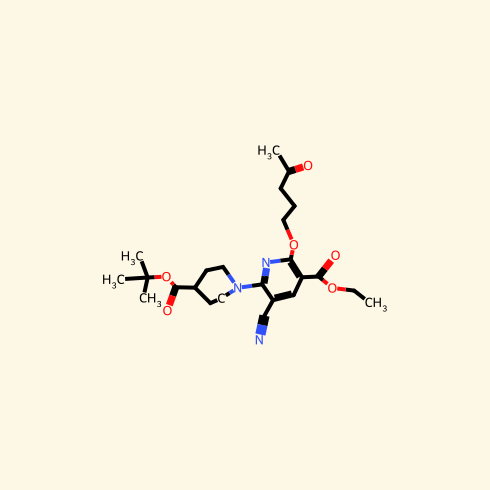 CCOC(=O)c1cc(C#N)c(N2CCC(C(=O)OC(C)(C)C)CC2)nc1OCCCC(C)=O